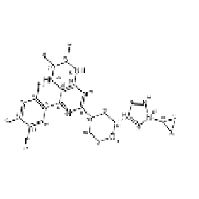 Cc1cc(F)c(-c2nc(C3CCO[C@@H](c4cnn(C5CC5)c4)C3)nc3c2NC(C)C(C)N3)cc1F